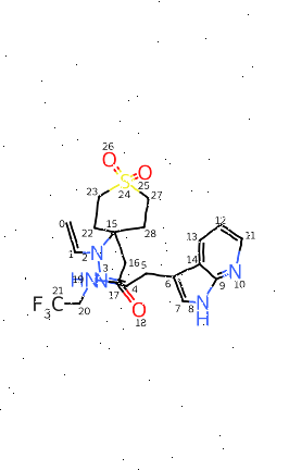 C=CN(/N=C\Cc1c[nH]c2ncccc12)C1(CC(=O)NCC(F)(F)F)CCS(=O)(=O)CC1